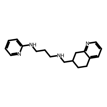 c1ccc(NCCCNCC2CCc3cccnc3C2)nc1